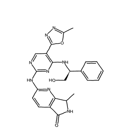 Cc1nnc(-c2cnc(Nc3ccc4c(n3)C(C)NC4=O)nc2N[C@H](CO)c2ccccc2)o1